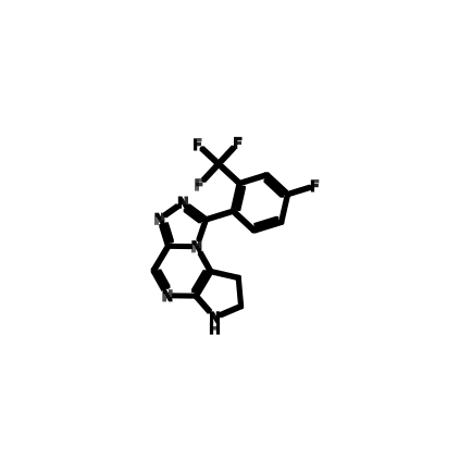 Fc1ccc(-c2nnc3cnc4c(n23)CCN4)c(C(F)(F)F)c1